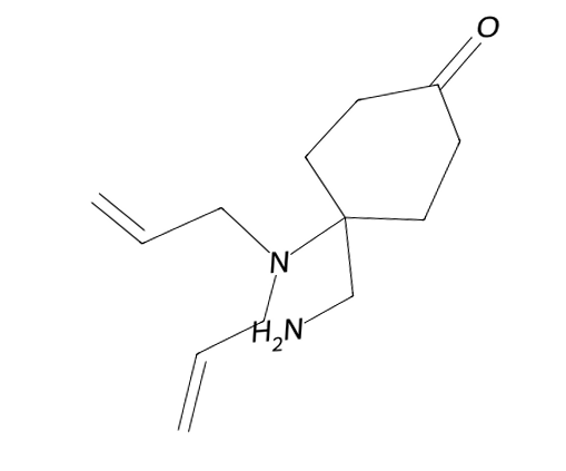 C=CCN(CC=C)C1(CN)CCC(=O)CC1